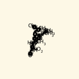 CC1(C)CCC(CN2CCN(c3ccc(C(=O)NS(=O)(=O)c4ccc(NCC5CCOCC5)c([N+](=O)[O-])c4)c(P(C)(=O)c4cnc5c(ccn5COCC[Si](C)(C)C)c4)c3)CC2)=C(c2ccc(Cl)cc2)C1